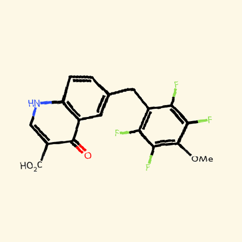 COc1c(F)c(F)c(Cc2ccc3[nH]cc(C(=O)O)c(=O)c3c2)c(F)c1F